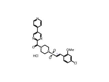 COc1cc(Cl)ccc1/C=C/S(=O)(=O)N1CCN(C(=O)c2ncc(-c3ccncc3)cn2)CC1.Cl